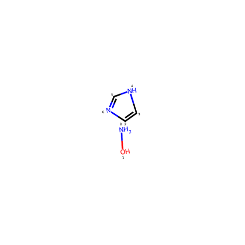 NO.c1c[nH]cn1